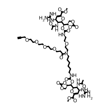 C#CCOCCOCCOCCOCCC(=O)N(CCCCCCNC(=O)O[C@@H]([C@@H]1OC(C(=O)OC)=C[C@H](NC(=N)N)[C@H]1NC(C)=O)[C@H]1COC(=O)O1)CCOCCNC(=O)O[C@@H]([C@@H]1OC(C(=O)OC)=C[C@H](NC(=N)N)[C@H]1NC(C)=O)[C@H]1COC(=O)O1